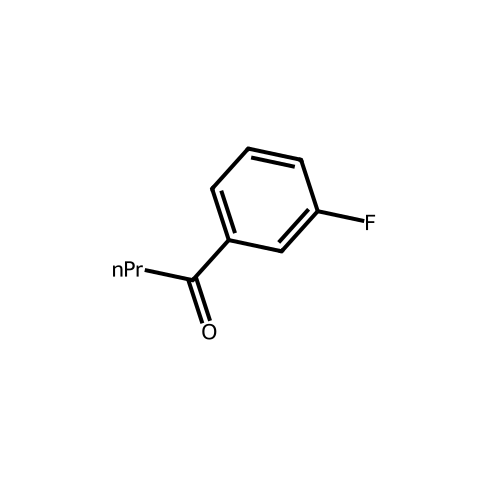 C[CH]CC(=O)c1cccc(F)c1